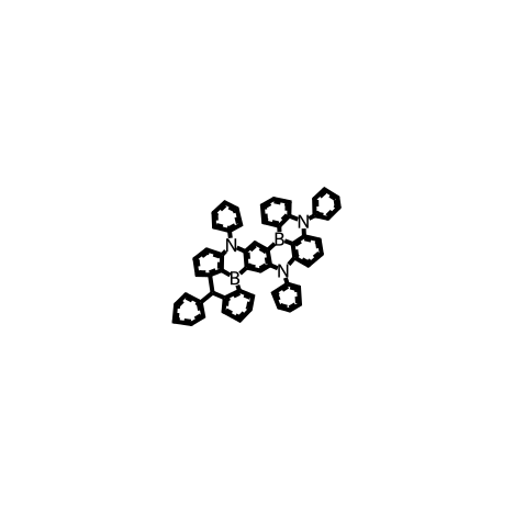 c1ccc(C2c3ccccc3B3c4cc5c(cc4N(c4ccccc4)c4cccc2c43)B2c3ccccc3N(c3ccccc3)c3cccc(c32)N5c2ccccc2)cc1